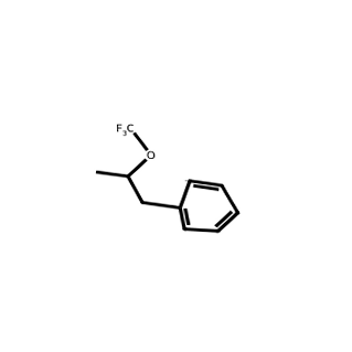 CC(Cc1[c]cccc1)OC(F)(F)F